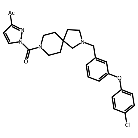 CC(=O)c1ccn(C(=O)N2CCC3(CCN(Cc4cccc(Oc5ccc(Cl)cc5)c4)C3)CC2)n1